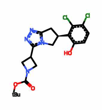 CC(C)(C)OC(=O)N1CC(c2nnc3n2C[C@H](c2c(O)ccc(Cl)c2Cl)C3)C1